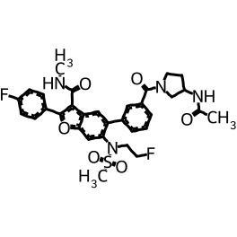 CNC(=O)c1c(-c2ccc(F)cc2)oc2cc(N(CCF)S(C)(=O)=O)c(-c3cccc(C(=O)N4CCC(NC(C)=O)C4)c3)cc12